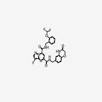 O=C1COc2ccc(CNC(=O)c3cc(C(=O)NCc4ccccc4OC(F)F)n4ncc(F)c4n3)cc2N1